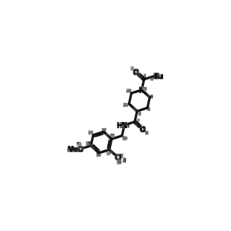 CCC(C)C(=O)N1CCC(C(=O)NCc2ccc(OC)cc2C(F)(F)F)CC1